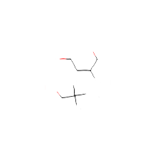 CC(C)(CO)C(=O)O.O=C(O)C(CO)CCO